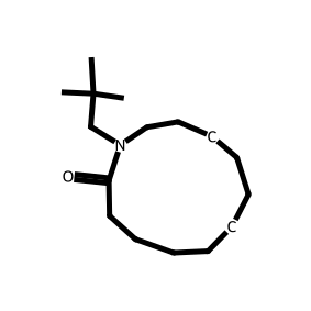 CC(C)(C)CN1CCCCCCCCCCC1=O